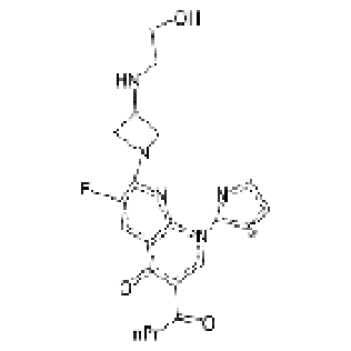 CCCC(=O)c1cn(-c2nccs2)c2nc(N3CC(NCCO)C3)c(F)cc2c1=O